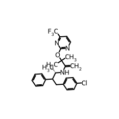 C=C(N[C@@H](C)C(Cc1ccc(Cl)cc1)c1ccccc1)C(C)(C)Oc1nccc(C(F)(F)F)n1